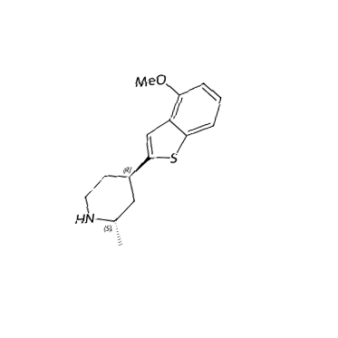 COc1cccc2sc([C@@H]3CCN[C@@H](C)C3)cc12